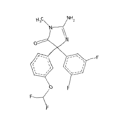 CN1C(=O)C(c2cc(F)cc(F)c2)(c2cccc(OC(F)F)c2)N=C1N